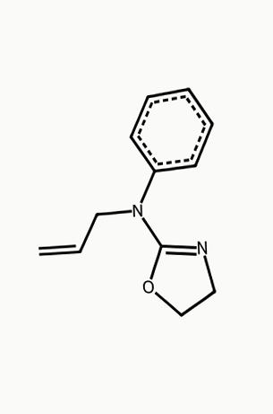 C=CCN(C1=NCCO1)c1ccccc1